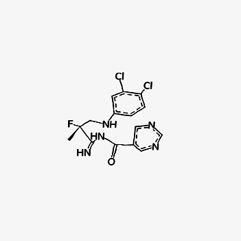 C[C@@](F)(CNc1ccc(Cl)c(Cl)c1)C(=N)NC(=O)c1cncnc1